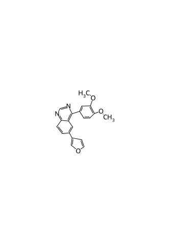 COc1ccc(-c2ncnc3ccc(-c4ccoc4)cc23)cc1OC